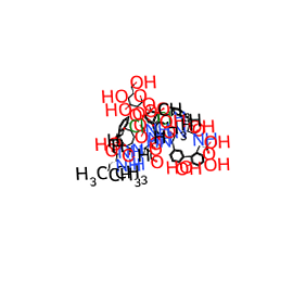 CN[C@H](CC(C)C)C(=O)N[C@H]1C(=O)N[C@@H](CC=O)C(=O)N[C@H]2C(=O)NC3C(=O)N[C@H](C(=O)N[C@H](C(=O)O)c4cc(O)cc(O)c4-c4cc3ccc4O)[C@H](O)c3ccc(c(Cl)c3)Oc3cc2cc(c3O[C@@H]2O[C@H](CO)[C@@H](O)[C@H](O)[C@H]2O[C@H]2C[C@](C)(NC(=O)OC3CC/C=C/CCC3)[C@@H](O)[C@H](C)O2)Oc2ccc(cc2Cl)[C@H]1O